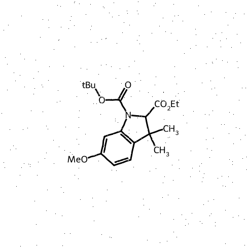 CCOC(=O)C1N(C(=O)OC(C)(C)C)c2cc(OC)ccc2C1(C)C